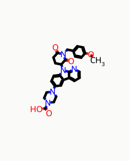 COc1ccc(CN2C(=O)CCC(n3c4ccc(N5CCN(C(=O)O)CC5)cc4c4cccnc43)C2=O)cc1